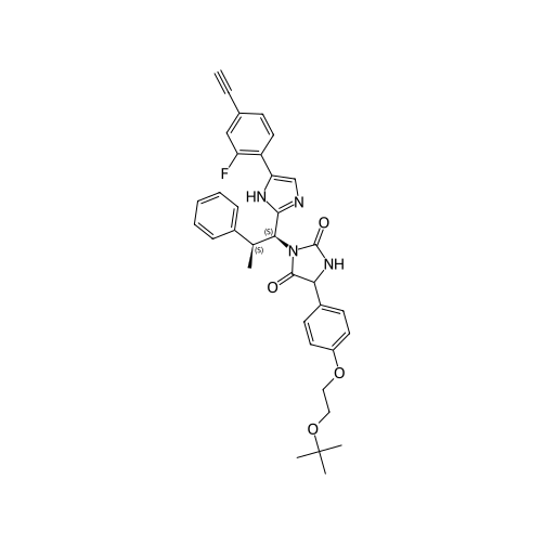 C#Cc1ccc(-c2cnc([C@H]([C@@H](C)c3ccccc3)N3C(=O)NC(c4ccc(OCCOC(C)(C)C)cc4)C3=O)[nH]2)c(F)c1